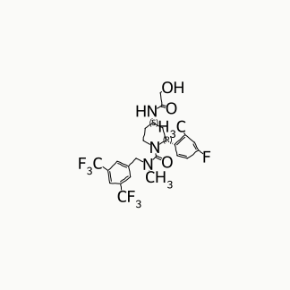 Cc1cc(F)ccc1[C@H]1C[C@@H](NC(=O)CO)CCN1C(=O)N(C)Cc1cc(C(F)(F)F)cc(C(F)(F)F)c1